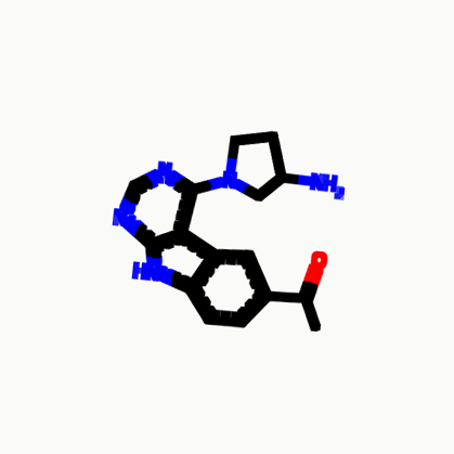 CC(=O)c1ccc2[nH]c3ncnc(N4CCC(N)C4)c3c2c1